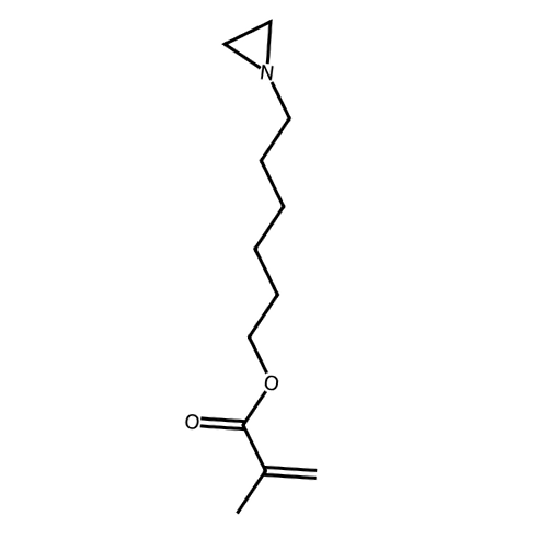 C=C(C)C(=O)OCCCCCCN1CC1